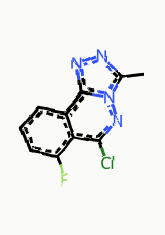 Cc1nnc2c3cccc(F)c3c(Cl)nn12